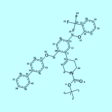 CC(C)(C)OC(=O)N1CC=C(c2cc(COc3ccccc3C(F)(F)F)ccc2COc2ccc(-c3ccccc3)cc2)CC1